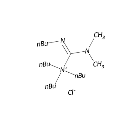 CCCCN=C(N(C)C)[N+](CCCC)(CCCC)CCCC.[Cl-]